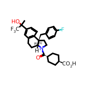 CC(O)(c1ccc2c(c1)CC[C@H]1N(C(=O)[C@H]3CC[C@H](C(=O)O)CC3)CC[C@@]21Cc1ccc(F)cc1)C(F)(F)F